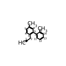 C#CCc1c[c]c(C)cc1-c1ccccc1C